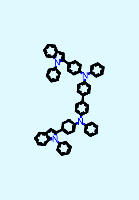 C1=C(c2cc3ccccc3n2-c2ccccc2)CCC(N(c2ccccc2)c2ccc(-c3ccc(N(c4ccccc4)c4ccc(-c5cc6ccccc6n5-c5ccccc5)cc4)cc3)cc2)=C1